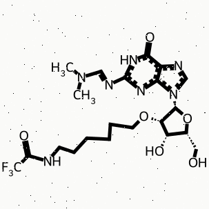 CN(C)/C=N/c1nc2c(ncn2[C@@H]2O[C@H](CO)[C@H](O)[C@@H]2OCCCCCCNC(=O)C(F)(F)F)c(=O)[nH]1